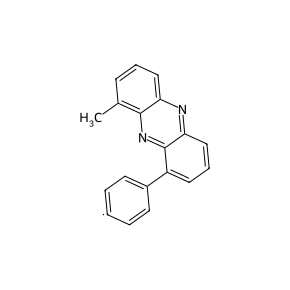 Cc1cccc2nc3cccc(-c4cc[c]cc4)c3nc12